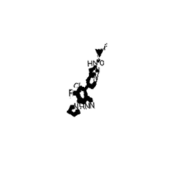 O=C(Nc1cc2cc(-c3c(Cl)c(F)c(-n4cccc4)c4[nH]ncc34)ccn2n1)[C@@H]1C[C@@H]1F